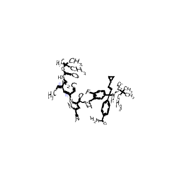 C=C/C(=C\C(=C/C)CNC(=O)OC(C)(C)C)n1nc(C#N)cc1C(=O)Nc1cc(C(CCC2CC2)(N[S+]([O-])C(C)(C)C)c2ccc(C(N)=O)cc2)ccc1F